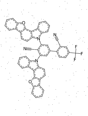 N#Cc1cc(C(F)(F)F)ccc1-c1cc(-n2c3ccccc3c3c4oc5ccccc5c4ccc32)c(C#N)c(-n2c3ccccc3c3c4oc5ccccc5c4ccc32)c1